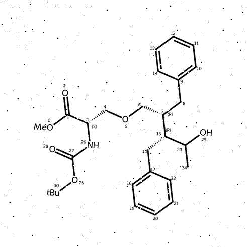 COC(=O)[C@H](COC[C@H](Cc1ccccc1)[C@@H](Cc1ccccc1)C(C)O)NC(=O)OC(C)(C)C